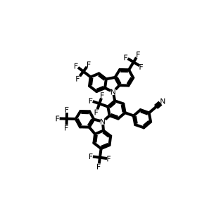 N#Cc1cccc(-c2cc(-n3c4ccc(C(F)(F)F)cc4c4cc(C(F)(F)F)ccc43)c(C(F)(F)F)c(-n3c4ccc(C(F)(F)F)cc4c4cc(C(F)(F)F)ccc43)c2)c1